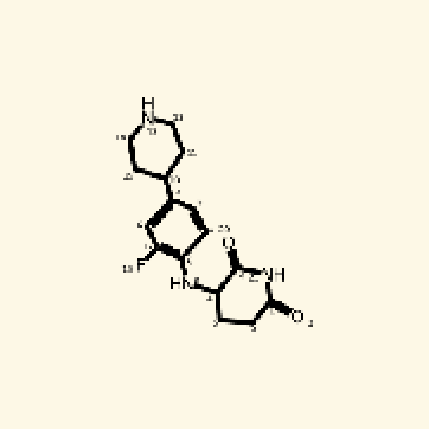 O=C1CCC(Nc2ccc(C3CCNCC3)cc2F)C(=O)N1